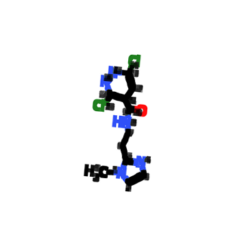 Cn1ccnc1CCNC(=O)c1cc(Cl)nnc1Cl